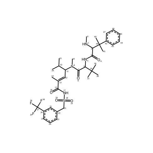 CNC(C(=O)NC(C(=O)N(C)C(C=C(C)C(=O)NS(=O)(=O)Cc1cccc(C(F)(F)F)c1)C(C)C)C(C)(C)C)C(C)(C)c1ccccc1